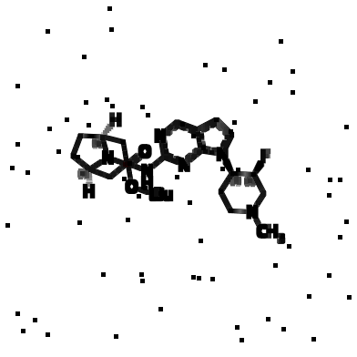 CN1CC[C@@H](n2ccc3cnc(NC4C[C@H]5CC[C@@H](C4)N5C(=O)OC(C)(C)C)nc32)[C@@H](F)C1